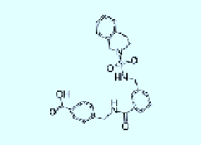 O=C(O)c1ccc(CNC(=O)c2cccc(CNS(=O)(=O)N3CCc4ccccc4C3)c2)cc1